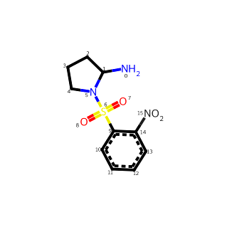 NC1CCCN1S(=O)(=O)c1ccccc1[N+](=O)[O-]